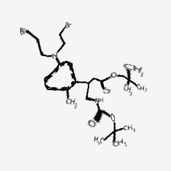 Cc1ccc(N(CCBr)CCBr)cc1C(CNC(=O)OC(C)(C)C)CC(=O)OC(C)(C)C